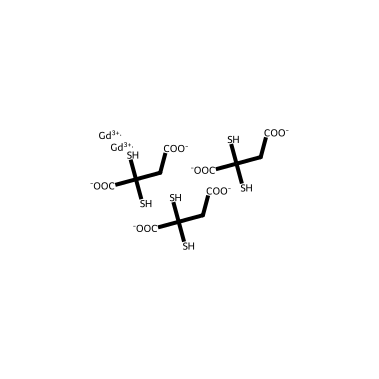 O=C([O-])CC(S)(S)C(=O)[O-].O=C([O-])CC(S)(S)C(=O)[O-].O=C([O-])CC(S)(S)C(=O)[O-].[Gd+3].[Gd+3]